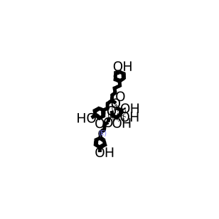 O=C(CCc1ccc(O)cc1)CC(CCc1ccc(O)cc1)O[C@H]1O[C@@H](COC(=O)/C=C/c2ccc(O)cc2)[C@H](O)[C@@H](O)[C@@H]1O